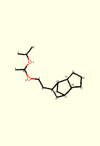 CC(C)OC(C)OCCC1CC2CC1C1CCCC21